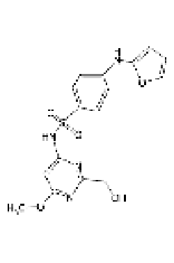 COc1cc(NS(=O)(=O)c2ccc(Nc3ccco3)cc2)nc(CO)n1